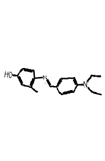 CCN(CC)c1ccc(/C=N/c2ccc(O)cc2C)cc1